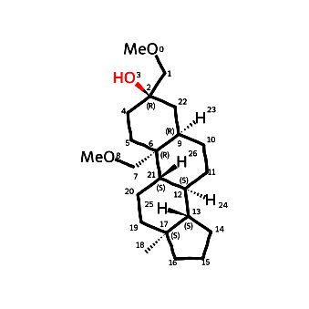 COC[C@@]1(O)CC[C@@]2(COC)[C@H](CC[C@H]3[C@@H]4CCC[C@@]4(C)CC[C@@H]32)C1